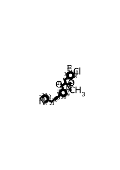 CN1C(=O)/C(=C\c2ccc(Cl)c(F)c2)C(=O)c2cc(C#CCc3cccnc3)ccc21